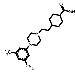 NC(=O)C1CCC(CCN2CCN(c3cc(C(F)(F)F)cc(C(F)(F)F)c3)CC2)CC1